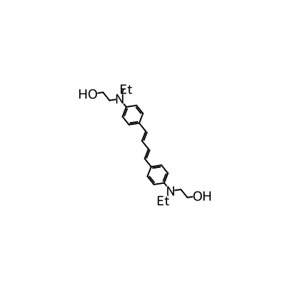 CCN(CCO)c1ccc(/C=C/C=C/c2ccc(N(CC)CCO)cc2)cc1